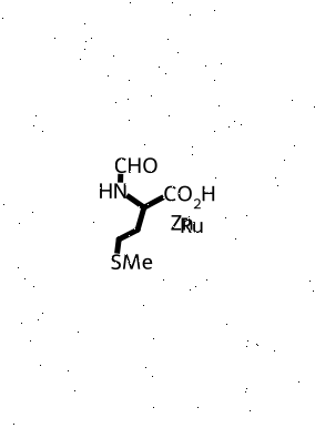 CSCCC(NC=O)C(=O)O.[Ru].[Zn]